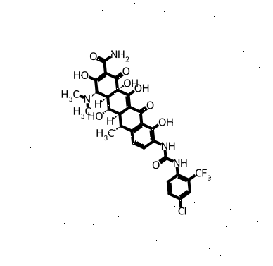 C[C@H]1c2ccc(NC(=O)Nc3ccc(Cl)cc3C(F)(F)F)c(O)c2C(=O)C2=C(O)[C@]3(O)C(=O)C(C(N)=O)=C(O)[C@@H](N(C)C)[C@@H]3[C@@H](O)[C@@H]21